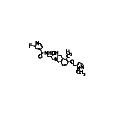 Cc1c(OCc2ccnn2C)ccc2c1CCN(C[C@@H](O)CNC(=O)c1ccnc(F)c1)C2